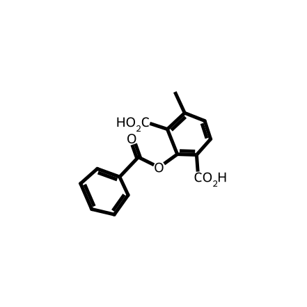 Cc1ccc(C(=O)O)c(OC(=O)c2ccccc2)c1C(=O)O